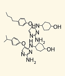 CC(C)c1ccc(Oc2cnc(N)nc2NC2CCC(O)CC2)cc1.CCCCc1ccc(Oc2cnc(N)nc2NC2CCC(O)CC2)cc1